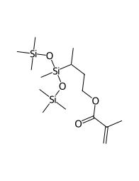 C=C(C)C(=O)OCCC(C)[Si](C)(O[Si](C)(C)C)O[Si](C)(C)C